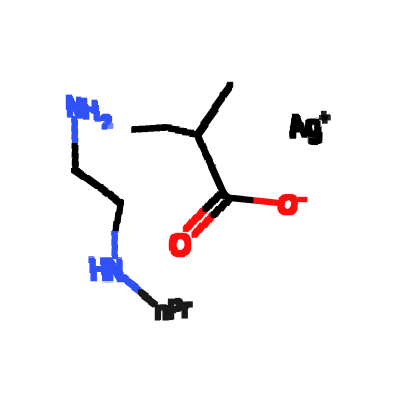 CC(C)C(=O)[O-].CCCNCCN.[Ag+]